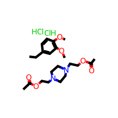 CC(=O)OCCN1CCN(CCOC(C)=O)CC1.CCc1ccc(OC)c(OC)c1.Cl.Cl